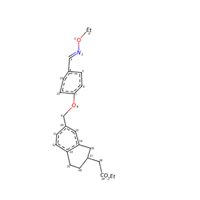 CCON=Cc1ccc(OCc2ccc3c(c2)CC(CC(=O)OCC)CC3)cc1